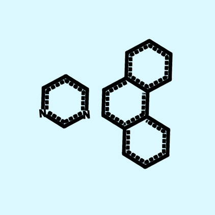 c1ccc2c(c1)ccc1ccccc12.c1cncnc1